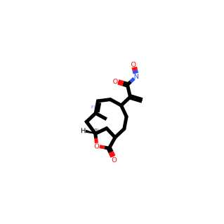 C=C(C(=O)N=O)C1C/C=C(\C)C[C@@H]2CC(CC1)C(=O)O2